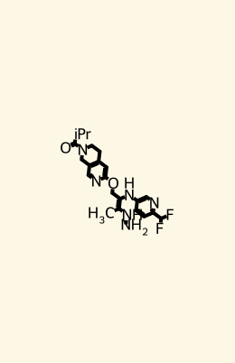 C/C(NN)=C(\COc1cc2c(cn1)CN(C(=O)C(C)C)CC2)Nc1ccc(C(F)F)nc1